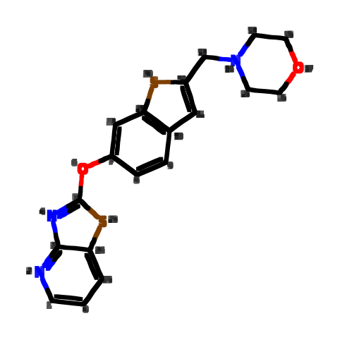 c1cnc2nc(Oc3ccc4cc(CN5CCOCC5)sc4c3)sc2c1